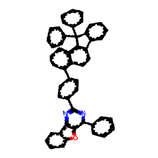 c1ccc(-c2nc(-c3ccc(-c4cccc5c6c(ccc45)-c4ccccc4C6(c4ccccc4)c4ccccc4)cc3)nc3c2oc2ccccc23)cc1